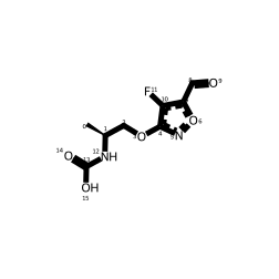 C[C@@H](COc1noc(C=O)c1F)NC(=O)O